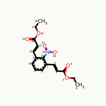 CCOC(=O)C=Cc1cccc(C=CC(=O)OCC)c1[N+](=O)[O-]